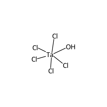 [OH][Ta]([Cl])([Cl])([Cl])([Cl])[Cl]